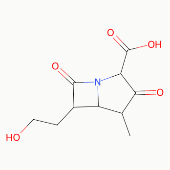 CC1C(=O)C(C(=O)O)N2C(=O)C(CCO)C12